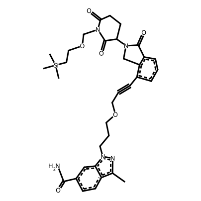 Cc1nn(CCCOCC#Cc2cccc3c2CN(C2CCC(=O)N(COCC[Si](C)(C)C)C2=O)C3=O)c2cc(C(N)=O)ccc12